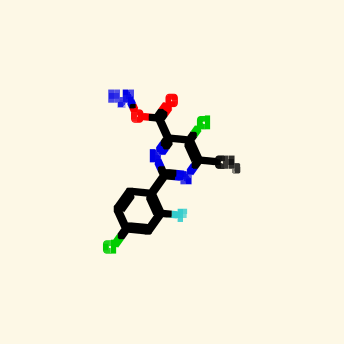 Cc1nc(-c2ccc(Cl)cc2F)nc(C(=O)ON)c1Cl